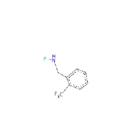 FNCc1ccccc1C(F)(F)F